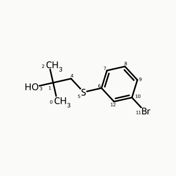 CC(C)(O)CSc1cccc(Br)c1